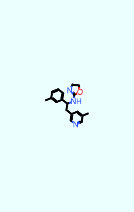 Cc1cncc(CC(NC2=NCCO2)c2cccc(C)c2)c1